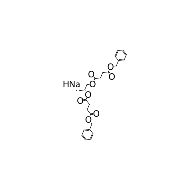 [CH2]C(COC(=O)CCC(=O)OCc1ccccc1)OC(=O)CCC(=O)OCc1ccccc1.[NaH]